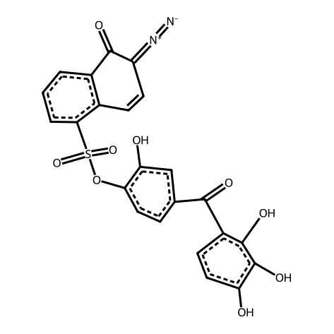 [N-]=[N+]=C1C=Cc2c(cccc2S(=O)(=O)Oc2ccc(C(=O)c3ccc(O)c(O)c3O)cc2O)C1=O